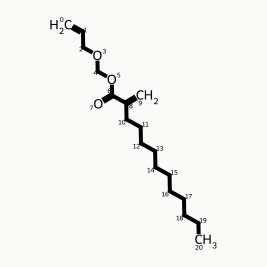 C=CCOCOC(=O)C(=C)CCCCCCCCCCC